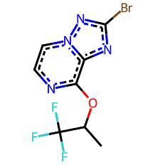 CC(Oc1nccn2nc(Br)nc12)C(F)(F)F